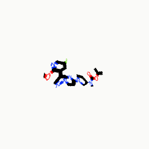 COc1ncc(F)cc1-c1cnn2ccc(N3CC[C@H](N(C)C(=O)OC(C)C)C3)nc12